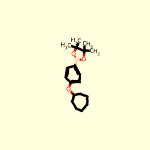 CC1(C)OB(c2ccc(OC3CCCCCC3)cc2)OC1(C)C